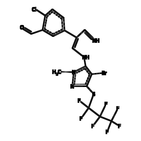 Cn1nc(SC(F)(F)C(F)(F)C(F)(F)F)c(Br)c1N/C=C(\C=N)c1ccc(Cl)c(C=O)c1